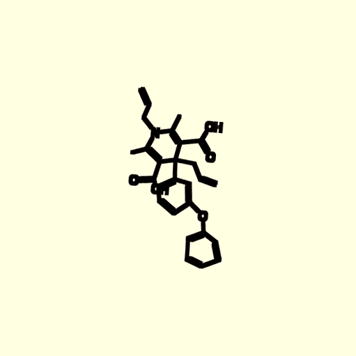 C=CCN1C(C)=C(C(=O)O)C(CC=C)(c2cccc(Oc3ccccc3)c2)C(C(=O)O)=C1C